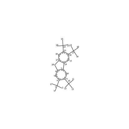 CC(C)(C)c1[c]c2c(cc1C(C)(C)C)-c1cc(C(C)(C)C)c(C(C)(C)C)cc1C2